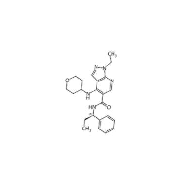 CC[C@@H](NC(=O)c1cnc2c(cnn2CC)c1NC1CCOCC1)c1ccccc1